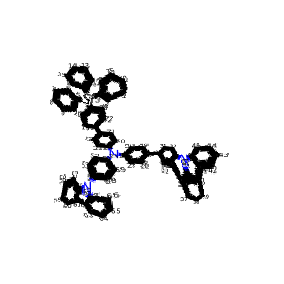 c1ccc([Si](c2ccccc2)(c2ccccc2)c2ccc(-c3ccc(N(c4ccc(-c5ccc6c(c5)c5cccc7c8ccccc8n6c75)cc4)c4ccc(-n5c6ccccc6c6ccccc65)cc4)cc3)cc2)cc1